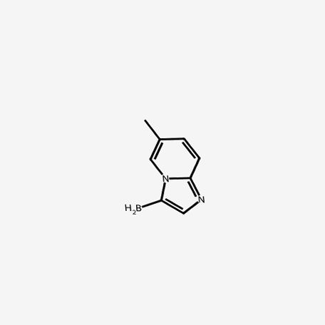 Bc1cnc2ccc(C)cn12